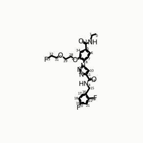 CCNC(=O)c1ccc(-n2cc(C(=O)NCc3ccc(F)cc3F)nn2)c(OCCOCCF)c1